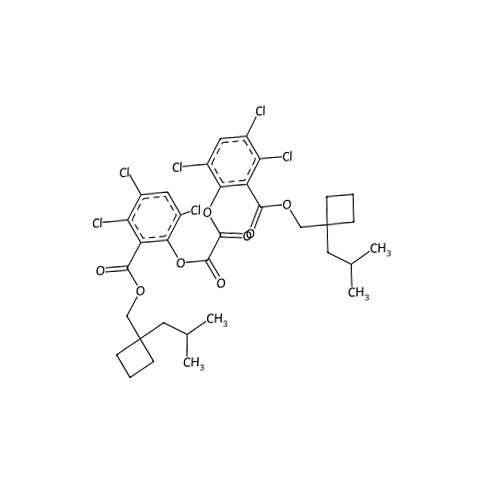 CC(C)CC1(COC(=O)c2c(Cl)c(Cl)cc(Cl)c2OC(=O)C(=O)Oc2c(Cl)cc(Cl)c(Cl)c2C(=O)OCC2(CC(C)C)CCC2)CCC1